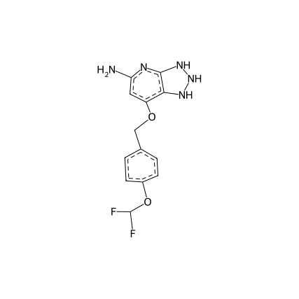 Nc1cc(OCc2ccc(OC(F)F)cc2)c2c(n1)NNN2